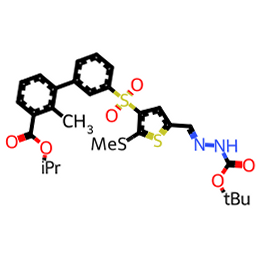 CSc1sc(C=NNC(=O)OC(C)(C)C)cc1S(=O)(=O)c1cccc(-c2cccc(C(=O)OC(C)C)c2C)c1